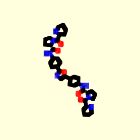 O=C(Nc1ccc(-c2cnc(-c3ccc(NC(=O)[C@@H]4CCCN4C(=O)c4ccccn4)cc3)o2)cc1)[C@@H]1CCCN1C(=O)c1ccccn1